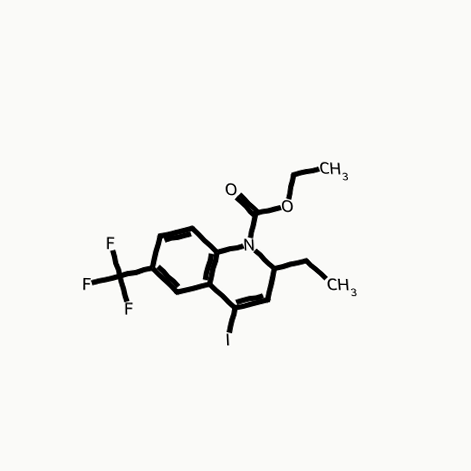 CCOC(=O)N1c2ccc(C(F)(F)F)cc2C(I)=CC1CC